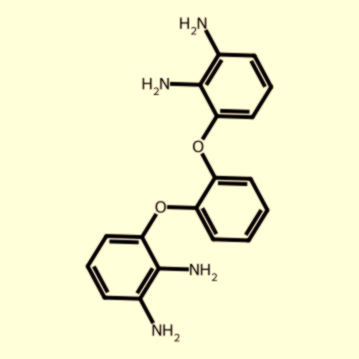 Nc1cccc(Oc2ccccc2Oc2cccc(N)c2N)c1N